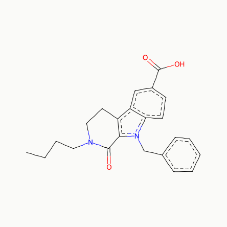 CCCCN1CCc2c(n(Cc3ccccc3)c3ccc(C(=O)O)cc23)C1=O